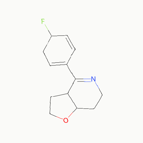 FC1C=CC(C2=NCCC3OCCC23)=CC1